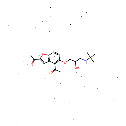 CC(=O)c1cc2c(C(C)=O)c(OCC(O)CNC(C)(C)C)ccc2o1